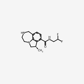 C[C@H]1CN2CCNCc3ccc(C(=O)NCC(F)F)c1c32